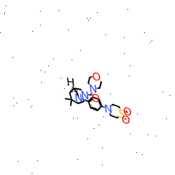 CC1(C)C[C@@H]2CN(C(=O)N3CCOCC3)CC1N(c1ccc(N3CCS(=O)(=O)CC3)cc1)C2